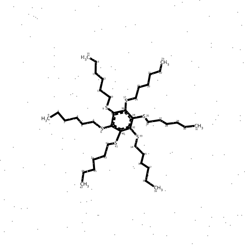 CCCCCCSc1c(SCCCCCC)c(SCCCCCC)c(SCCCCCC)c(SCCCCCC)c1SCCCCCC